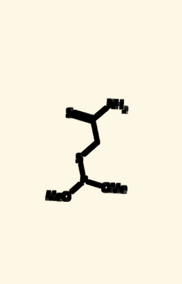 COP(OC)SCC(N)=S